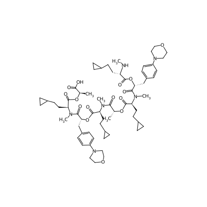 CN[C@@H](CCC1CC1)C(=O)O[C@H](Cc1ccc(N2CCOCC2)cc1)C(=O)N(C)[C@@H](CCC1CC1)C(=O)O[C@H](C)C(=O)N(C)[C@@H](CCC1CC1)C(=O)O[C@H](Cc1ccc(N2CCOCC2)cc1)C(=O)N(C)[C@@H](CCC1CC1)C(=O)O[C@H](C)C(=O)O